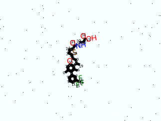 Cc1cc2c(c(C)c1-c1cccc(C(F)(F)F)c1)C(C)CC(c1ccc(C(=O)NCCC(=O)O)s1)O2